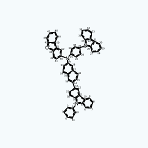 c1ccc(-n2c3ccccc3c3cc(-c4ccc5cc(N(c6ccc(-n7c8ccccc8c8ccccc87)cc6)c6ccc7oc8ccccc8c7c6)ccc5c4)ccc32)cc1